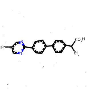 CCCc1cnc(-c2ccc(-c3ccc(C(CC)C(=O)O)cc3)cc2)nc1